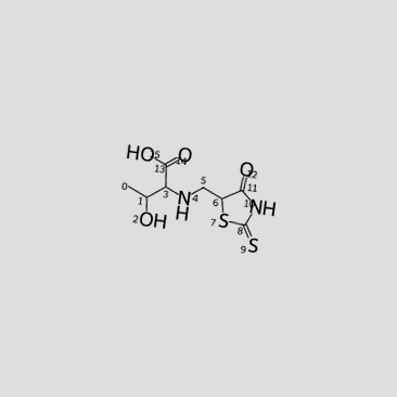 CC(O)C(NCC1SC(=S)NC1=O)C(=O)O